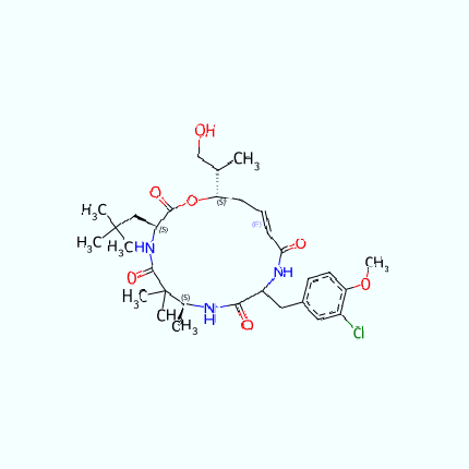 COc1ccc(CC2NC(=O)/C=C/C[C@@H](C(C)CO)OC(=O)[C@H](CC(C)(C)C)NC(=O)C(C)(C)[C@H](C)NC2=O)cc1Cl